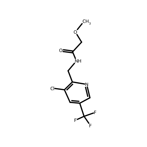 COCC(=O)NCc1ncc(C(F)(F)F)cc1Cl